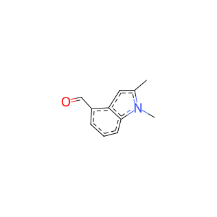 Cc1cc2c(C=O)cccc2n1C